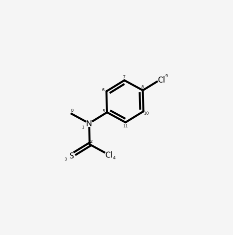 CN(C(=S)Cl)c1ccc(Cl)cc1